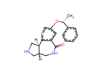 C[C@@H](Oc1ccc2c(c1)C(=O)NC[C@@H]1CNC[C@@H]21)c1ccccc1